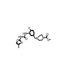 COC(=O)N1CCN(Cc2ccc(F)c(NC(=O)Nc3nc(C)co3)c2)CC1